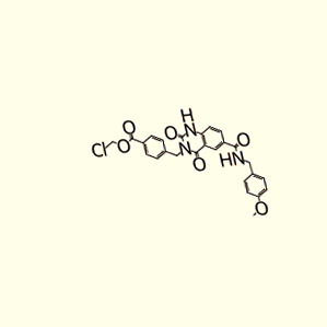 COc1ccc(CNC(=O)c2ccc3[nH]c(=O)n(Cc4ccc(C(=O)OCCl)cc4)c(=O)c3c2)cc1